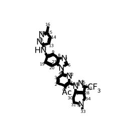 CC(=O)c1ccc(-n2cnc3cc(Nc4ccc(C)nn4)ccc32)nc1-n1nc(C(F)(F)F)c2c1CCN(C)C2